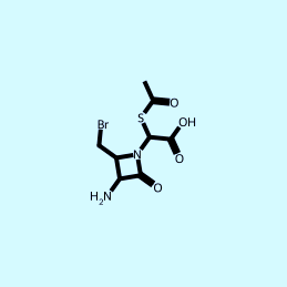 CC(=O)SC(C(=O)O)N1C(=O)C(N)C1CBr